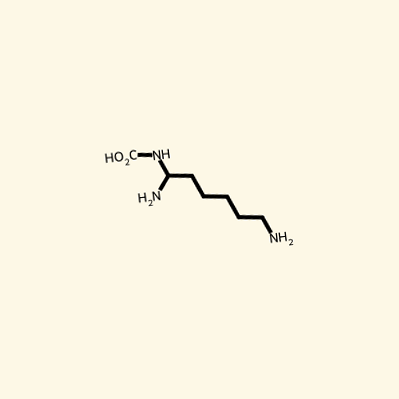 NCCCCCC(N)NC(=O)O